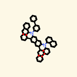 c1ccc(-c2cccc(N(c3cc4cc(N(c5cccc(-c6ccccc6)c5)c5cccc6ccccc56)c(-c5ccccc5)cc4cc3-c3ccccc3)c3cccc4ccccc34)c2)cc1